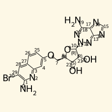 Nc1nc2cc(OC[C@H]3O[C@@H](n4nc5ncnc-5c(N)n4)[C@H](O)[C@@H]3O)ccc2cc1Br